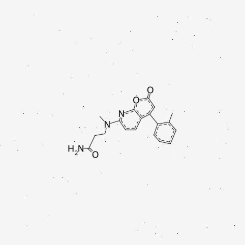 Cc1ccccc1-c1cc(=O)oc2nc(N(C)CCC(N)=O)ccc12